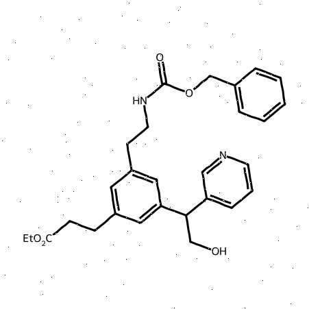 CCOC(=O)CCc1cc(CCNC(=O)OCc2ccccc2)cc(C(CO)c2cccnc2)c1